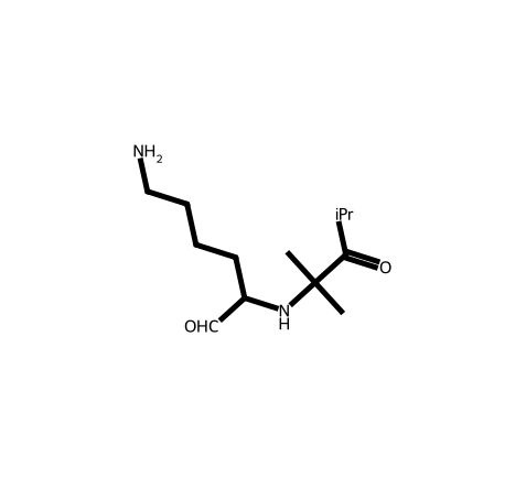 CC(C)C(=O)C(C)(C)NC(C=O)CCCCN